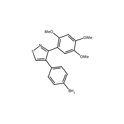 Bc1ccc(-c2csnc2-c2cc(OC)c(OC)cc2OC)cc1